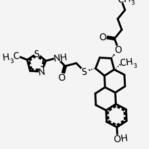 CCCCC(=O)O[C@H]1C[C@@H](SCC(=O)Nc2ncc(C)s2)C2C3CCc4cc(O)ccc4C3CC[C@@]21C